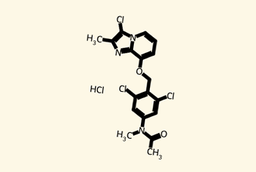 CC(=O)N(C)c1cc(Cl)c(COc2cccn3c(Cl)c(C)nc23)c(Cl)c1.Cl